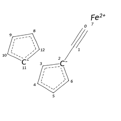 C#C[c-]1cccc1.[Fe+2].c1cc[cH-]c1